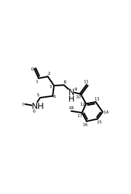 C=CCC(CCNC)CNC(=C)c1ccccc1C